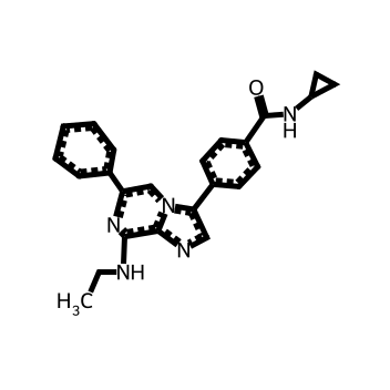 CCNc1nc(-c2ccccc2)cn2c(-c3ccc(C(=O)NC4CC4)cc3)cnc12